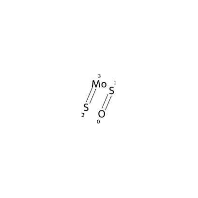 O=S.[S]=[Mo]